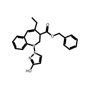 CCC1=Cc2ccccc2N(n2ccc(O)n2)CC1C(=O)OCc1ccccc1